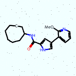 COc1ncccc1-c1c[nH]c(C(=O)NC2CCCCCCC2)c1